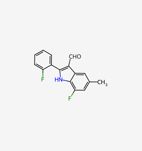 Cc1cc(F)c2[nH]c(-c3ccccc3F)c(C=O)c2c1